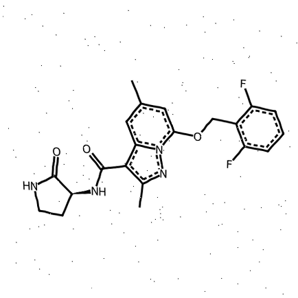 Cc1cc(OCc2c(F)cccc2F)n2nc(C)c(C(=O)N[C@H]3CCNC3=O)c2c1